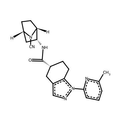 Cc1cccc(-n2ncc3c2CC[C@@H](C(=O)N[C@@H]2C[C@@H]4CC[C@H]2N4C#N)C3)n1